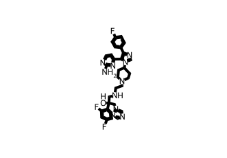 Nc1nccc(-c2c(-c3ccc(F)cc3)ncn2C2CCN(CCNCC(O)(Cn3cncn3)c3ccc(F)cc3F)CC2)n1